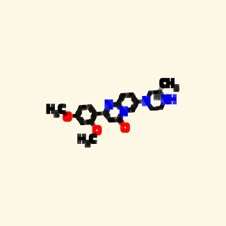 COc1ccc(-c2cc(=O)n3cc(N4CCN[C@@H](C)C4)ccc3n2)c(OC)c1